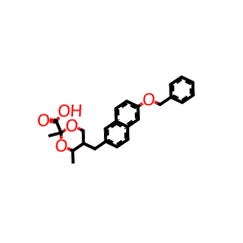 CC1OC(C)(C(=O)O)OCC1Cc1ccc2cc(OCc3ccccc3)ccc2c1